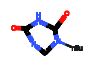 CCCCn1cnc(=O)[nH]c1=O